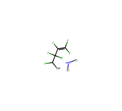 CCCC(F)C(F)(F)C(F)=C(F)F.CCNCC